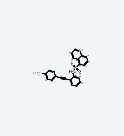 O=C(O)c1ccc(C#Cc2ccccc2NS(=O)(=O)c2cccc3ncccc23)cc1